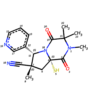 CN1C(=O)[C@@]2(S)C[C@](C)(C#N)[C@H](c3cccnc3)N2C(=O)C1(C)C